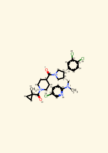 CN(C[C@@H]1CN(C(=O)C2CCN(C(=O)C3(C)CC3)CC2)C[C@@H]1c1ccc(Cl)c(Cl)c1)c1ccc(Cl)cn1